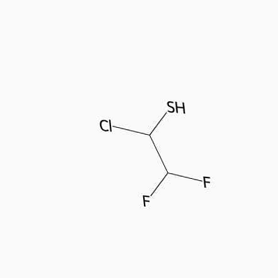 FC(F)C(S)Cl